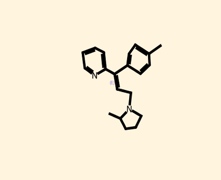 Cc1ccc(/C(=C\CN2CCCC2C)c2ccccn2)cc1